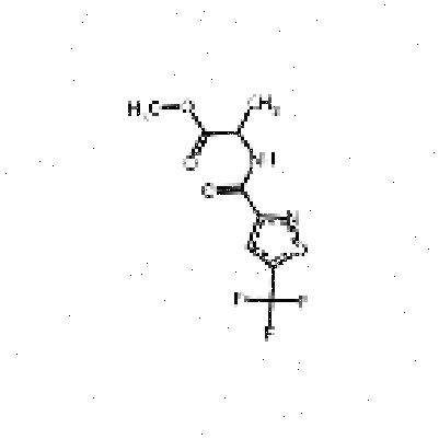 COC(=O)C(C)NC(=O)c1cc(C(F)(F)F)on1